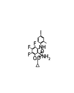 Cc1cc(I)ccc1Nc1c(F)c(F)c(F)c(OCC2CC2)c1S(N)(=O)=O